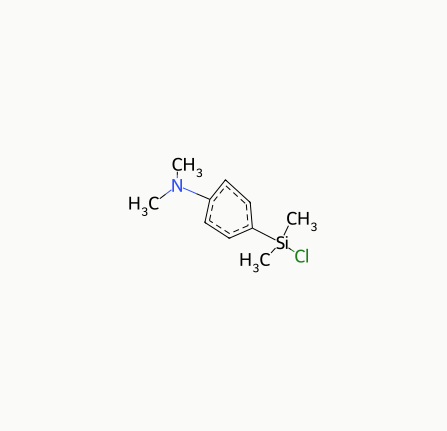 CN(C)c1ccc([Si](C)(C)Cl)cc1